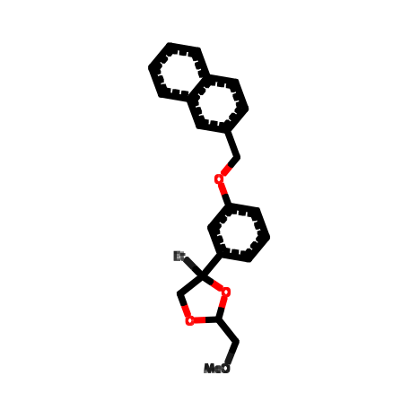 CCC1(c2cccc(OCc3ccc4ccccc4c3)c2)COC(COC)O1